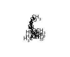 CC(=O)SC1CN(c2nc(C(=O)N[C@@H](CC(C)C)C(O[SiH](C)C)C(C)(C)C)cs2)C1